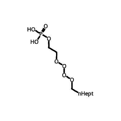 CCCCCCCCOOOOCCOP(=O)(O)O